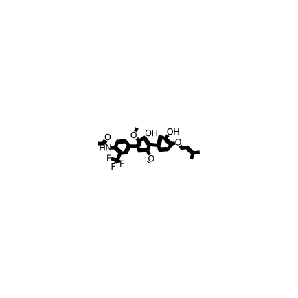 COc1cc(-c2ccc(NC(C)=O)c(C(F)(F)F)c2)c(OC)c(O)c1-c1ccc(OCC=C(C)C)c(O)c1